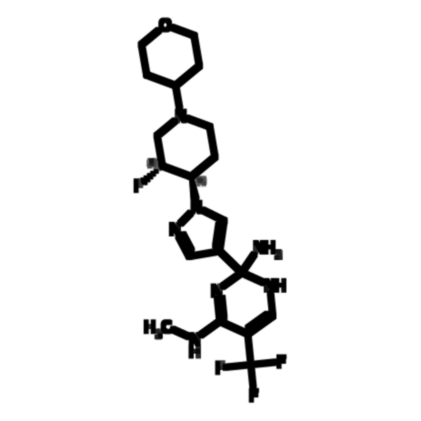 CNC1=NC(N)(c2cnn([C@@H]3CCN(C4CCOCC4)C[C@H]3F)c2)NC=C1C(F)(F)F